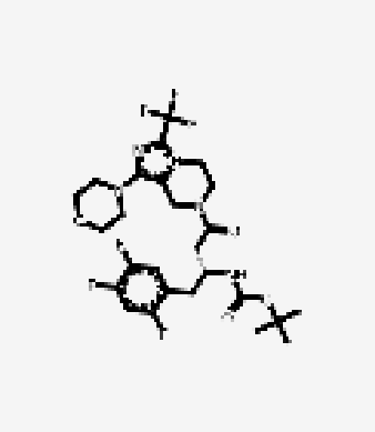 CC(C)(C)OC(=O)N[C@@H](CC(=O)N1CCn2c(C(F)(F)F)nc(N3CCOCC3)c2C1)Cc1cc(F)c(F)cc1F